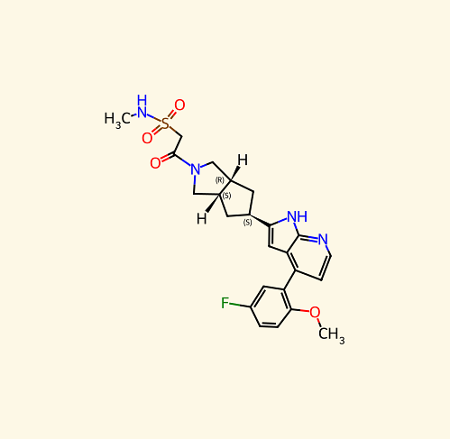 CNS(=O)(=O)CC(=O)N1C[C@H]2C[C@H](c3cc4c(-c5cc(F)ccc5OC)ccnc4[nH]3)C[C@H]2C1